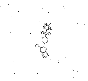 Cc1nnc(S(=O)(=O)C2CCC(c3cn4ncnc4cc3Cl)CC2)n1C